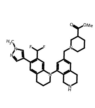 COC(=O)C1CCCN(Cc2cc3c(c(N4CCCc5cc(-c6cnn(C)c6)c(C(F)F)cc54)c2)CNCC3)C1